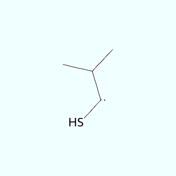 CC(C)[CH]S